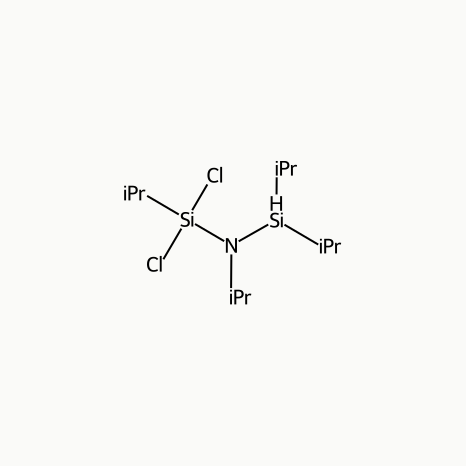 CC(C)N([SiH](C(C)C)C(C)C)[Si](Cl)(Cl)C(C)C